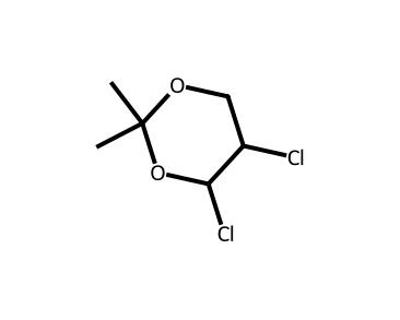 CC1(C)OCC(Cl)C(Cl)O1